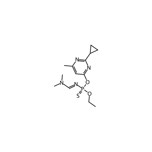 CCOP(=S)(N=CN(C)C)Oc1cc(C)nc(C2CC2)n1